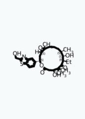 CC[C@H]1C(=O)C(C)(C)[C@@H](O)CC(=O)O[C@H](c2ccc3sc(CO)nc3c2)C[C@@H]2O[C@]2(C)CCC[C@H](C)[C@@H]1O